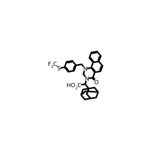 O=C(O)C(N1CN(Cc2ccc(SC(F)(F)F)cc2)c2c(ccc3ccccc23)C1=O)C12CC3CC(CC(C3)C1)C2